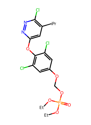 CCOP(=O)(OCC)OCOc1cc(Cl)c(Oc2cc(C(C)C)c(Cl)nn2)c(Cl)c1